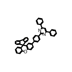 c1ccc(-c2cc(-c3ccccc3)nc(-c3ccc(-c4ccc5c(c4)C4(c6ccccc6O5)c5ccccc5-c5ccccc54)cc3)n2)cc1